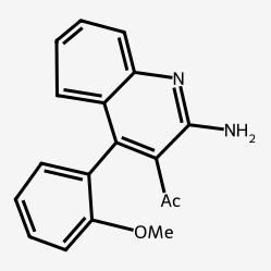 COc1ccccc1-c1c(C(C)=O)c(N)nc2ccccc12